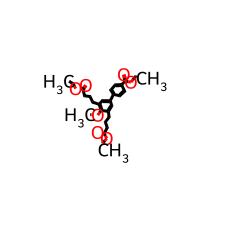 CCOC(=O)CCCc1cc(-c2ccc(C(=O)OCC)cc2)cc(CCCC(=O)OCC)c1OC